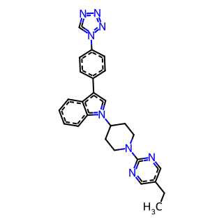 CCc1cnc(N2CCC(n3cc(-c4ccc(-n5cnnn5)cc4)c4ccccc43)CC2)nc1